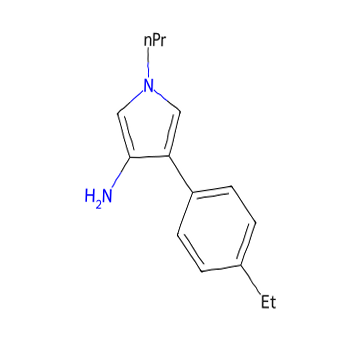 C[CH]Cn1cc(N)c(-c2ccc(CC)cc2)c1